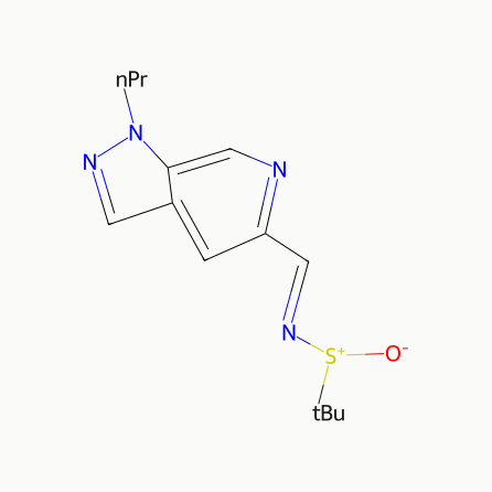 CCCn1ncc2cc(C=N[S+]([O-])C(C)(C)C)ncc21